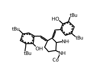 CC(C)(C)c1cc(C=C2CCC([NH][Co])C([NH])C2=Cc2cc(C(C)(C)C)cc(C(C)(C)C)c2O)c(O)c(C(C)(C)C)c1